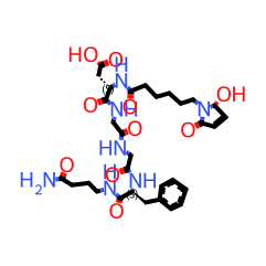 NC(=O)CCCNC(=O)[C@H](Cc1ccccc1)NC(=O)CNC(=O)CNC(=O)[C@H](CC(=O)O)NC(=O)CCCCCN1C(=O)C=CC1O